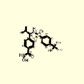 CC(C)[C@@H](NS(=O)(=O)c1ccc(C(F)(F)F)cc1)c1ccc(C(=O)NO)cc1